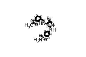 CS(=O)(=O)c1cccc(CNc2nc(Nc3ccc(S(N)(=O)=O)cc3)ncc2Br)c1